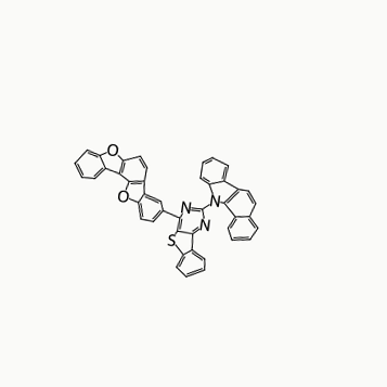 c1ccc2c(c1)ccc1c3ccccc3n(-c3nc(-c4ccc5oc6c(ccc7oc8ccccc8c76)c5c4)c4sc5ccccc5c4n3)c21